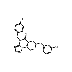 O=c1c2c(n3ncnc3n1Cc1ccc(Cl)cc1)CCN(Cc1cccc(Cl)c1)C2